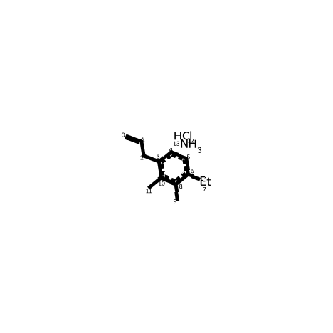 C=CCc1ccc(CC)c(C)c1C.Cl.N